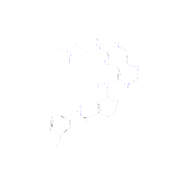 Cc1ccc(C(=O)Nc2cccc(C(F)(F)F)c2)cc1Nc1ncnc2cnc(N(C)CCN(C)C)nc12